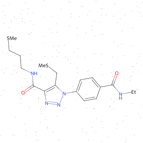 CCNC(=O)c1ccc(-n2nnc(C(=O)NCCCSC)c2CSC)cc1